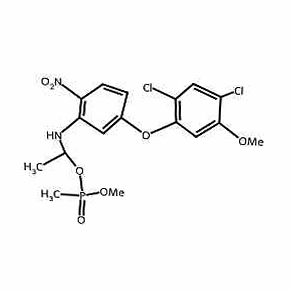 COc1cc(Oc2ccc([N+](=O)[O-])c(NC(C)OP(C)(=O)OC)c2)c(Cl)cc1Cl